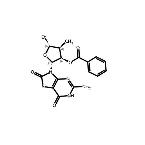 CC[C@H]1O[C@@H](n2c(=O)sc3c(=O)[nH]c(N)nc32)[C@H](OC(=O)c2ccccc2)[C@@H]1C